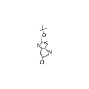 CC(C)(C)OCc1nc2cc(Cl)cnc2s1